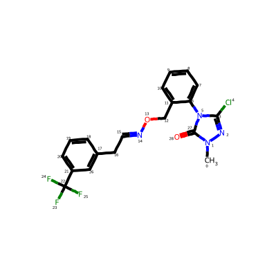 Cn1nc(Cl)n(-c2ccccc2CON=CCc2cccc(C(F)(F)F)c2)c1=O